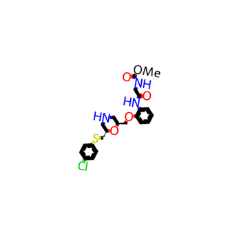 COC(=O)NCC(=O)Nc1ccccc1OC[C@@H]1CNC[C@@H](CSc2ccc(Cl)cc2)O1